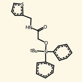 CC(C)(C)[Si](OCC(=O)NCc1cccs1)(c1ccccc1)c1ccccc1